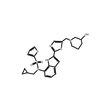 O=S(=O)(c1cccs1)N(CC1CC1)c1cccc2cc(-c3ncc(CN4CCCC(O)C4)s3)[nH]c12